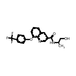 C[C@H](CO)NC(=O)c1cnc2c(Oc3ccc(C(F)(F)F)cc3)cccc2c1